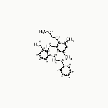 COCOc1c(C)cc(C)cc1Pc1c(C)cccc1CNCc1ccccc1